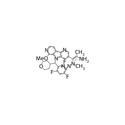 COc1nccc2c3ncc(/C(=C(\C)N)N(C)N)cc3n(C(c3c(F)cc(F)cc3F)C3CCOCC3)c12